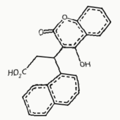 O=C(O)CC(c1c(O)c2ccccc2oc1=O)c1cccc2ccccc12